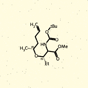 C=CCC[C@@H](C)O[C@@H](CC)C(NC(=O)OC(C)(C)C)C(=O)OC